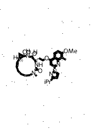 COc1ccc2c(OCC[C@@H]3NC(=O)N(C)CCCCC=C[C@@H]4C[C@@]4(C(=O)O)NC3=O)cc(-n3ccc(C(C)C)n3)nc2c1C